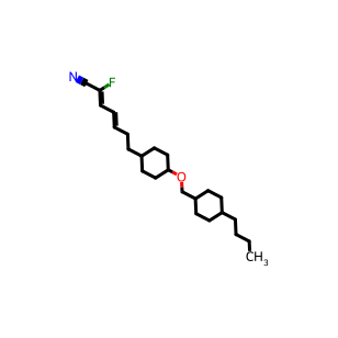 CCCCC1CCC(COC2CCC(CCC=CC=C(F)C#N)CC2)CC1